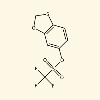 O=S(=O)(Oc1ccc2c(c1)OCS2)C(F)(F)F